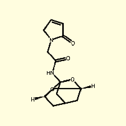 O=C(CN1CC=CC1=O)NC12CC3C[C@H](C[C@H](C3)O1)O2